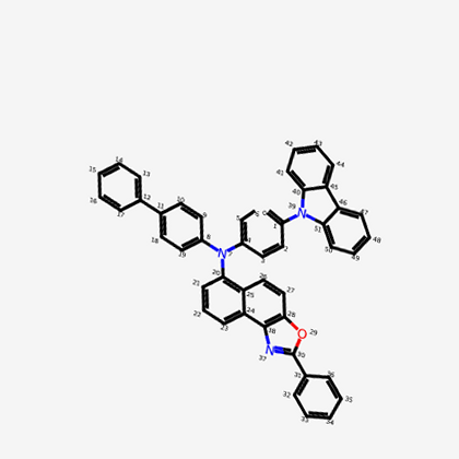 C=C(/C=C\C(=C/C)N(c1ccc(-c2ccccc2)cc1)c1cccc2c1ccc1oc(-c3ccccc3)nc12)n1c2ccccc2c2ccccc21